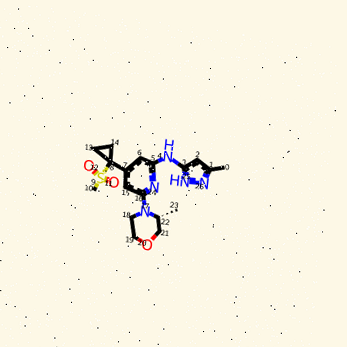 Cc1cc(Nc2cc(C3(S(C)(=O)=O)CC3)cc(N3CCOC[C@H]3C)n2)[nH]n1